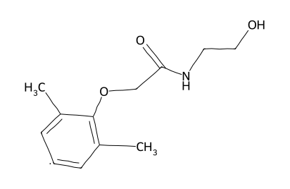 Cc1c[c]cc(C)c1OCC(=O)NCCO